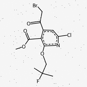 COC(=O)c1c(C(=O)CBr)cc(Cl)nc1OCC(C)(C)F